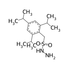 CC(C)c1cc(C(C)C)c(CS(=O)(=O)NN)c(C(C)C)c1